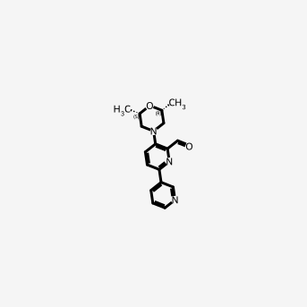 C[C@@H]1CN(c2ccc(-c3cccnc3)nc2C=O)C[C@H](C)O1